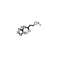 CCCC(=O)Nc1nnn[nH]1